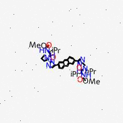 CCCN(Cc1ncc(-c2ccc3cc4cc(-c5cnc([C@@H]6CCCN6C(=O)[C@@H](NC(=O)OC)C(C)C)[nH]5)ccc4cc3c2)[nH]1)C(=O)[C@@H](NC(=O)OC)C(C)C